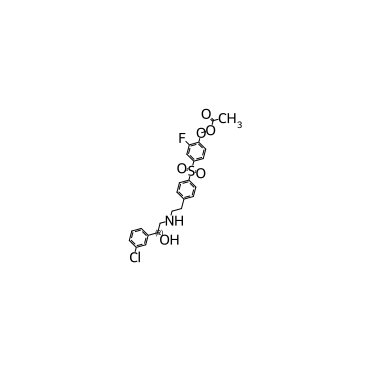 CC(=O)OOc1ccc(S(=O)(=O)c2ccc(CCNC[C@H](O)c3cccc(Cl)c3)cc2)cc1F